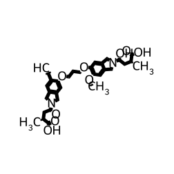 C#Cc1cc2c(cc1OCCCOc1cc3c(cc1OC)CN(C(O)C[C@H](C)C(=O)O)C3)CN(C(=O)C[C@H](C)C(=O)O)C2